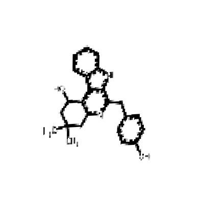 CC1(C)Cc2nc(Cc3ccc(O)cc3)c3[nH]c4ccccc4c3c2C(O)C1